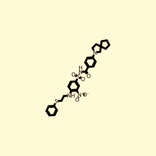 O=C(NS(=O)(=O)c1ccc(NCCSc2ccccc2)c([N+](=O)[O-])c1)c1ccc(N2CCC3(CCCC3)C2)cc1